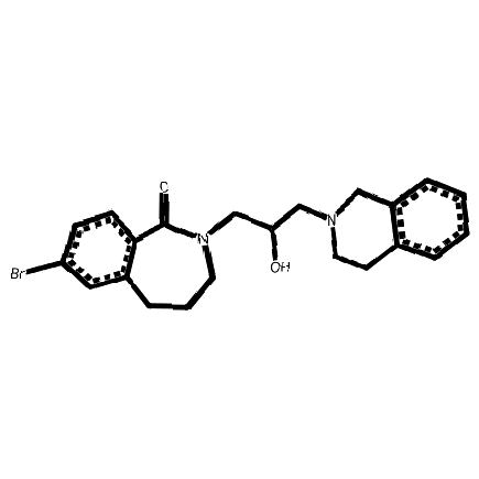 O=C1c2ccc(Br)cc2CCCN1CC(O)CN1CCc2ccccc2C1